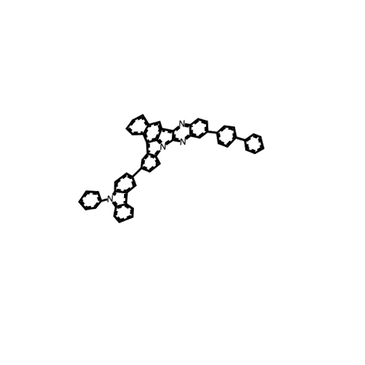 c1ccc(-c2ccc(-c3ccc4nc5c6cc7ccccc7c7c8cc(-c9ccc%10c(c9)c9ccccc9n%10-c9ccccc9)ccc8n(c5nc4c3)c67)cc2)cc1